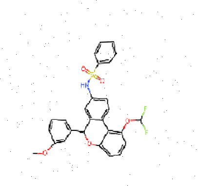 COc1cccc(C2Oc3cccc(OC(F)F)c3-c3ccc(NS(=O)(=O)c4ccccc4)cc32)c1